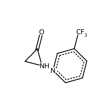 FC(F)(F)c1cccnc1.O=C1CN1